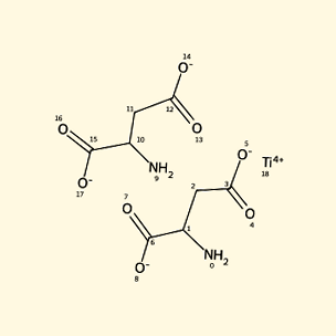 NC(CC(=O)[O-])C(=O)[O-].NC(CC(=O)[O-])C(=O)[O-].[Ti+4]